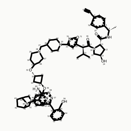 C#Cc1ccc([C@H](C)NC(=O)[C@@H]2C[C@@H](O)CN2C(=O)[C@H](c2cc(N3CCC(CN4CCC(O[C@H]5C[C@H](Oc6cc(N7C8CCC7CN(c7cc(-c9ccccc9O)nnc7N)C8)ccn6)C5)CC4)CC3)no2)C(C)C)cc1